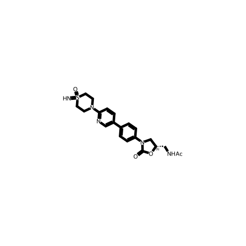 CC(=O)NC[C@H]1CN(c2ccc(-c3ccc(N4CCS(=N)(=O)CC4)nc3)cc2)C(=O)O1